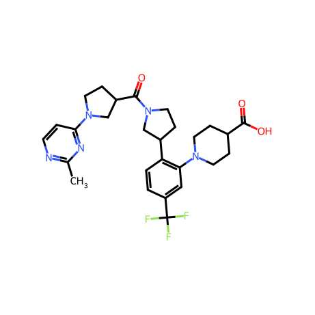 Cc1nccc(N2CCC(C(=O)N3CCC(c4ccc(C(F)(F)F)cc4N4CCC(C(=O)O)CC4)C3)C2)n1